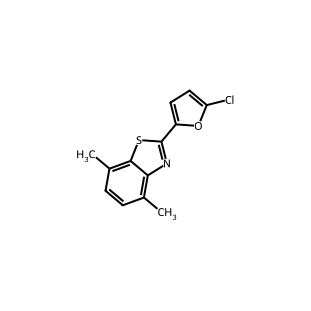 Cc1ccc(C)c2sc(-c3ccc(Cl)o3)nc12